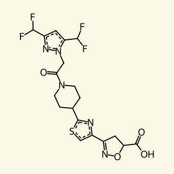 O=C(O)C1CC(c2csc(C3CCN(C(=O)Cn4nc(C(F)F)cc4C(F)F)CC3)n2)=NO1